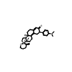 C=C1CCCO[C@@]12CC[C@H]1[C@@H]3CCC4=CC(=O)C(c5ccc(N(C)C)cc5)CC4=C3CC[C@@]12C